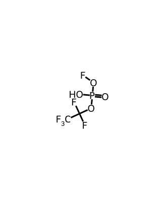 O=P(O)(OF)OC(F)(F)C(F)(F)F